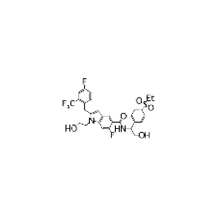 CCS(=O)(=O)c1ccc(C(CO)NC(=O)c2cc3cc(Cc4ccc(F)cc4C(F)(F)F)n(CCO)c3cc2F)cc1